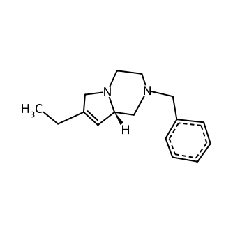 CCC1=C[C@H]2CN(Cc3ccccc3)CCN2C1